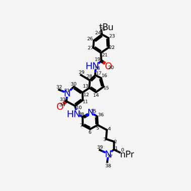 CCCC(CCCc1ccc(Nc2cc(-c3cccc(NC(=O)c4ccc(C(C)(C)C)cc4)c3C)cn(C)c2=O)nc1)N(C)C